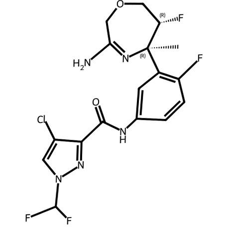 C[C@]1(c2cc(NC(=O)c3nn(C(F)F)cc3Cl)ccc2F)N=C(N)COC[C@@H]1F